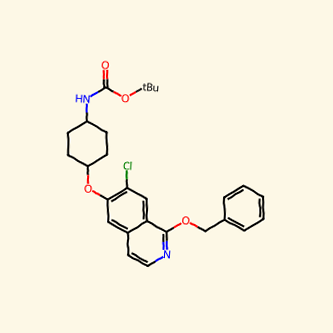 CC(C)(C)OC(=O)NC1CCC(Oc2cc3ccnc(OCc4ccccc4)c3cc2Cl)CC1